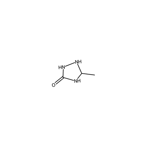 CC1NNC(=O)N1